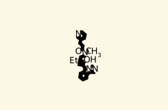 CCC1(CCN(C)C(=O)CCc2cccnc2)CC(C2c3ccccc3-c3cncn32)C1O